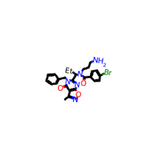 CCC(c1nc2onc(C)c2c(=O)n1Cc1ccccc1)N(CCCN)C(=O)c1ccc(Br)cc1